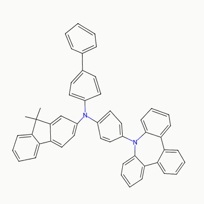 CC1(C)c2ccccc2-c2ccc(N(c3ccc(-c4ccccc4)cc3)c3ccc(N4c5ccccc5-c5ccccc5-c5ccccc54)cc3)cc21